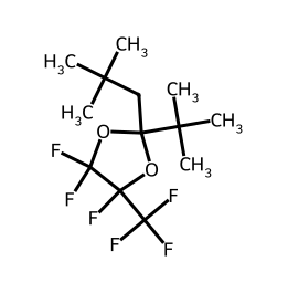 CC(C)(C)CC1(C(C)(C)C)OC(F)(F)C(F)(C(F)(F)F)O1